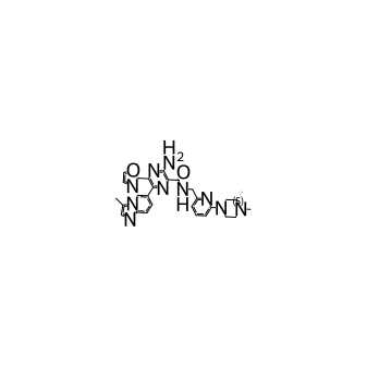 Cc1cnc2ccc(-c3nc(C(=O)NCc4cccc(N5CCN(C)[C@@H](C)C5)n4)c(N)nc3-c3ncco3)cn12